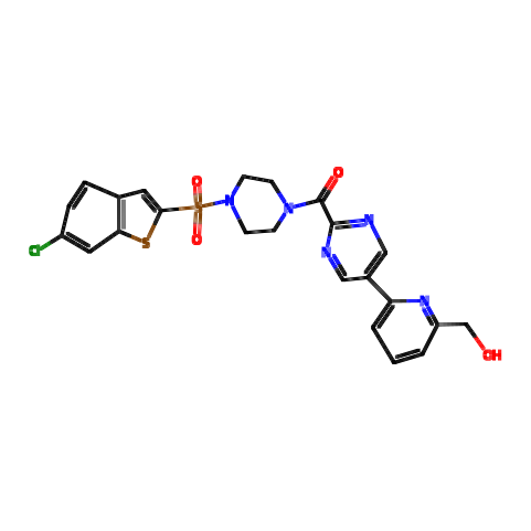 O=C(c1ncc(-c2cccc(CO)n2)cn1)N1CCN(S(=O)(=O)c2cc3ccc(Cl)cc3s2)CC1